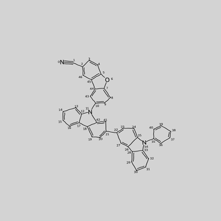 N#Cc1ccc2oc3ccc(-n4c5ccccc5c5ccc(-c6ccc7c(c6)c6ccccc6n7-c6ccccc6)cc54)cc3c2c1